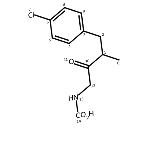 CC(Cc1ccc(Cl)cc1)C(=O)CNC(=O)O